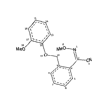 CO/N=C(/C#N)c1ccccc1COc1ccccc1OC